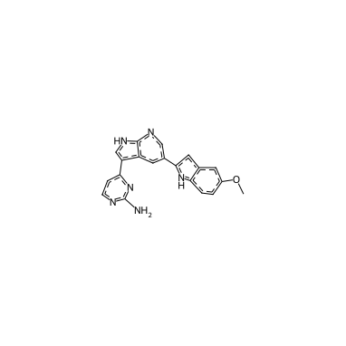 COc1ccc2[nH]c(-c3cnc4[nH]cc(-c5ccnc(N)n5)c4c3)cc2c1